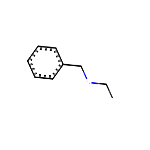 CCC(C)CNCc1ccccc1